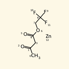 CC(=O)CC(=O)OCC(F)(F)F.[Zn]